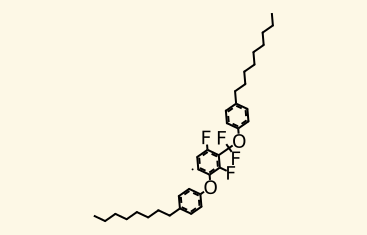 CCCCCCCCCc1ccc(OC(F)(F)c2c(F)c[c]c(Oc3ccc(CCCCCCCC)cc3)c2F)cc1